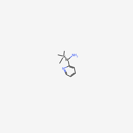 C[Si](C)(C)[Ni]([NH2])[c]1ccccn1